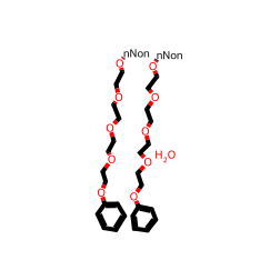 CCCCCCCCCOCCOCCOCCOCCOc1ccccc1.CCCCCCCCCOCCOCCOCCOCCOc1ccccc1.O